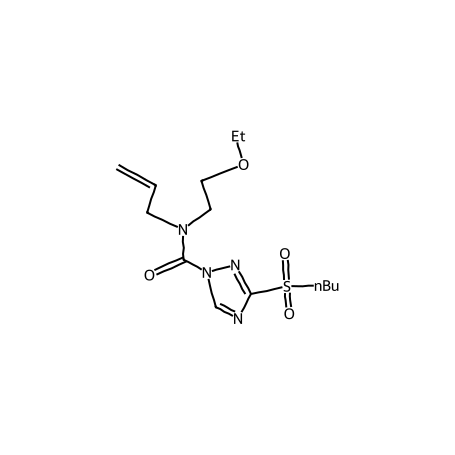 C=CCN(CCOCC)C(=O)n1cnc(S(=O)(=O)CCCC)n1